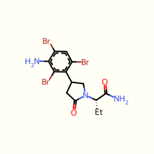 CC[C@@H](C(N)=O)N1CC(c2c(Br)cc(Br)c(N)c2Br)CC1=O